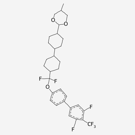 CC1COC(C2CCC(C3CCC(C(F)(F)Oc4ccc(-c5cc(F)c(C(F)(F)F)c(F)c5)cc4)CC3)CC2)OC1